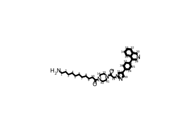 NCCCCCCCCCCC(=O)N1CCN(C(=O)Cn2cc(-c3ccc(-c4cncc5ccccc45)cc3)cn2)CC1